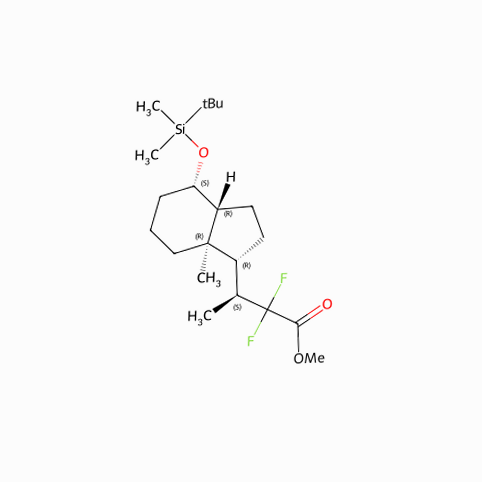 COC(=O)C(F)(F)[C@@H](C)[C@H]1CC[C@H]2[C@@H](O[Si](C)(C)C(C)(C)C)CCC[C@]12C